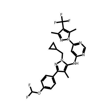 Cc1nn(-c2cc(Nc3c(C)c(-c4ccc(OC(F)F)cc4)nn3CC3CC3)ncn2)c(C)c1C(F)(F)F